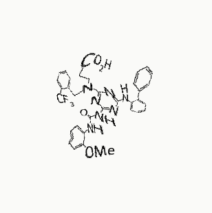 COc1ccccc1NC(=O)Nc1nc(Nc2ccccc2-c2ccccc2)nc(N(CCC(=O)O)Cc2ccccc2C(F)(F)F)n1